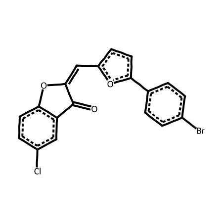 O=C1C(=Cc2ccc(-c3ccc(Br)cc3)o2)Oc2ccc(Cl)cc21